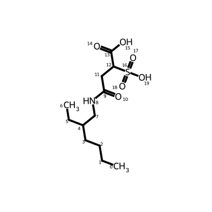 CCCCC(CC)CNC(=O)CC(C(=O)O)S(=O)(=O)O